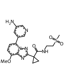 COc1ccc(-c2cncc(N)c2)n2nc(C3(C(=O)NCCS(C)(=O)=O)CC3)nc12